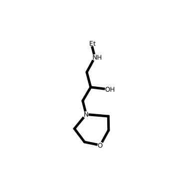 CCNCC(O)CN1CCOCC1